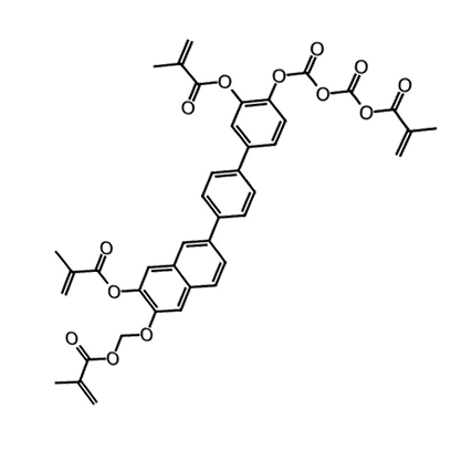 C=C(C)C(=O)OCOc1cc2ccc(-c3ccc(-c4ccc(OC(=O)OC(=O)OC(=O)C(=C)C)c(OC(=O)C(=C)C)c4)cc3)cc2cc1OC(=O)C(=C)C